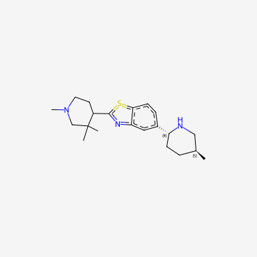 C[C@H]1CC[C@H](c2ccc3sc(C4CCN(C)CC4(C)C)nc3c2)NC1